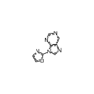 c1coc(-n2cnc3cncnc32)n1